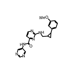 COc1cccc(C2CC2CNc2nccc(C(=O)Nc3cncnc3)n2)c1